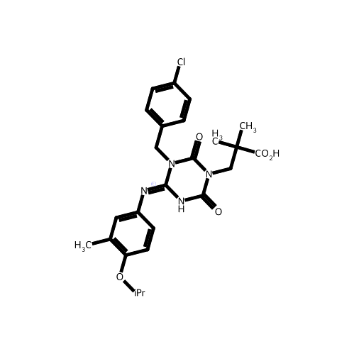 Cc1cc(/N=c2\[nH]c(=O)n(CC(C)(C)C(=O)O)c(=O)n2Cc2ccc(Cl)cc2)ccc1OC(C)C